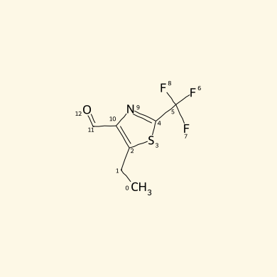 CCc1sc(C(F)(F)F)nc1C=O